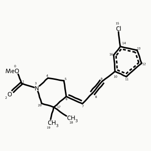 COC(=O)N1CC/C(=C\C#Cc2cccc(Cl)c2)C(C)(C)C1